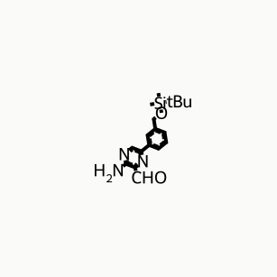 CC(C)(C)[Si](C)(C)OCc1cccc(-c2cnc(N)c(C=O)n2)c1